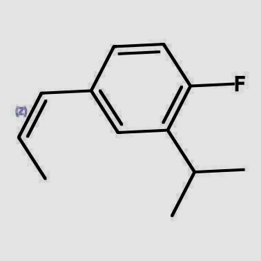 C/C=C\c1ccc(F)c(C(C)C)c1